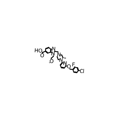 COCCn1c(CN2CCN(c3cccc(OCc4ccc(Cl)cc4F)n3)[C@H](C)C2)nc2ccc(C(=O)O)cc21